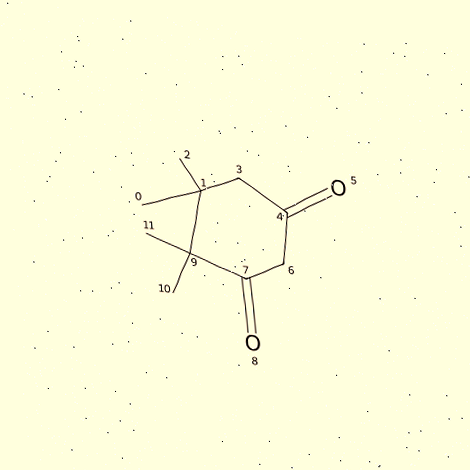 CC1(C)CC(=O)CC(=O)C1(C)C